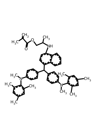 C=C(C)C(=O)OCC(C)Nc1ccc(C(c2ccc(N(C)c3c(C)cc(C)cc3C)cc2)c2ccc(N(C)c3c(C)cc(C)cc3C)cc2)c2ccccc12